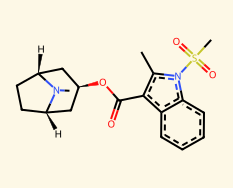 Cc1c(C(=O)O[C@@H]2C[C@H]3CC[C@@H](C2)N3C)c2ccccc2n1S(C)(=O)=O